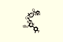 Cc1cc(-c2cc(C(C)(C)C)c3nc(C(=O)N4CCN(C(=O)c5ccn[nH]5)CC4(C)C)cn3n2)ccc1F